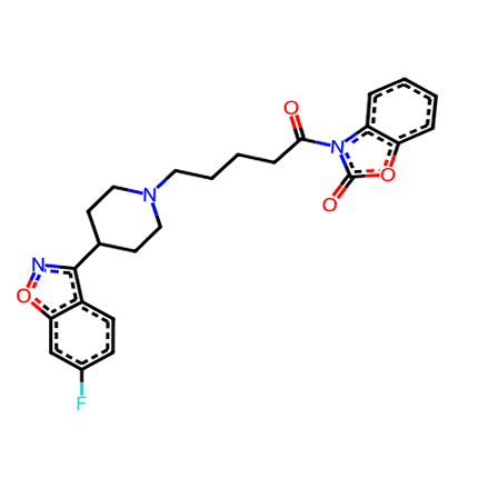 O=C(CCCCN1CCC(c2noc3cc(F)ccc23)CC1)n1c(=O)oc2ccccc21